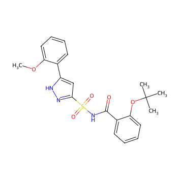 COc1ccccc1-c1cc(S(=O)(=O)NC(=O)c2ccccc2OC(C)(C)C)n[nH]1